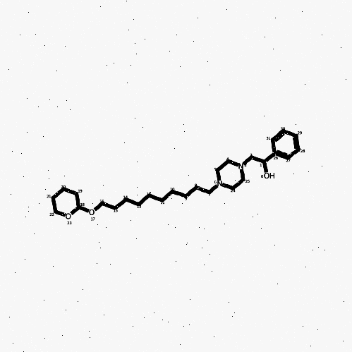 OC(CN1CCN(CCCCCCCCCCOC2CCCCO2)CC1)c1ccccc1